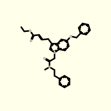 CCOC(=O)/C=C/Cc1cn(CC(=O)N(C)CCc2ccccc2)c2ccc(OCc3ccccc3)cc12